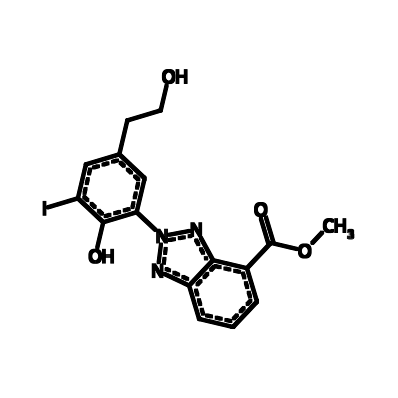 COC(=O)c1cccc2nn(-c3cc(CCO)cc(I)c3O)nc12